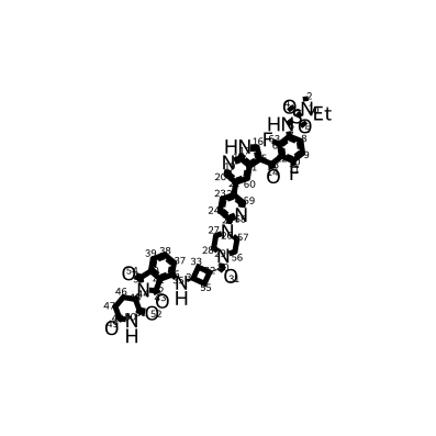 CCN(C)S(=O)(=O)Nc1ccc(F)c(C(=O)c2c[nH]c3ncc(-c4ccc(N5CCN(C(=O)[C@H]6C[C@H](Nc7cccc8c7C(=O)N(C7CCC(=O)NC7=O)C8=O)C6)CC5)nc4)cc23)c1F